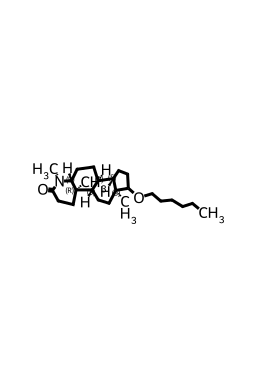 CCCCCCOC1CC[C@H]2[C@@H]3CC[C@H]4N(C)C(=O)CC[C@]4(C)[C@H]3CC[C@]12C